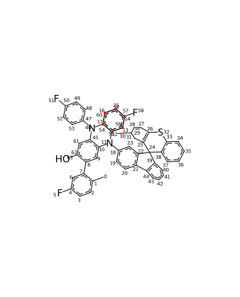 Cc1ccc(F)cc1-c1cc(N(c2ccccc2)c2ccc3c(c2)C2(C4=C(C=CC(C)C4)Sc4ccccc42)c2ccccc2-3)c(N(c2ccc(F)cc2)c2ccc(F)cc2)cc1O